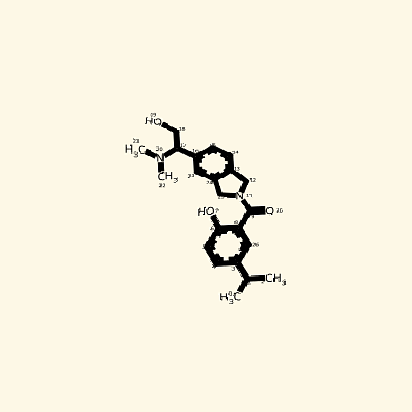 CC(C)c1ccc(O)c(C(=O)N2Cc3ccc(C(CO)N(C)C)cc3C2)c1